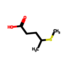 CSC(C)CCC(=O)O